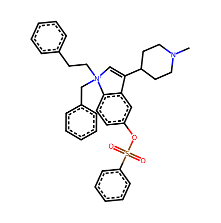 CN1CCC(C2=C[N+](CCc3ccccc3)(Cc3ccccc3)c3ccc(OS(=O)(=O)c4ccccc4)cc32)CC1